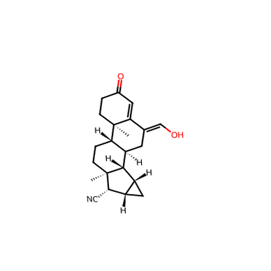 C[C@]12CC[C@H]3[C@@H](C/C(=C\O)C4=CC(=O)CC[C@@]43C)[C@@H]1[C@@H]1C[C@@H]1[C@@H]2C#N